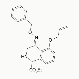 C=CCOc1cccc2c1C(=NOCc1ccccc1)CNC2C(=O)OCC